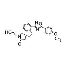 O=C1C[C@@]2(CCc3c(-c4noc(-c5ccc(OC(F)(F)F)cc5)n4)cccc32)CN1CCO